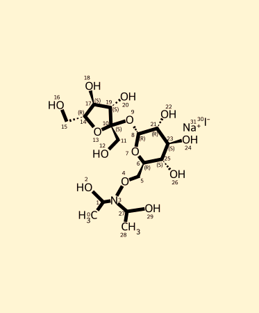 CC(O)N(OC[C@H]1O[C@H](O[C@]2(CO)O[C@H](CO)[C@@H](O)[C@@H]2O)[C@H](O)[C@@H](O)[C@@H]1O)C(C)O.[I-].[Na+]